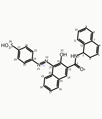 O=C(NC1CC=Cc2ccccc21)c1cc2ccccc2c(/N=N/c2ccc(S(=O)(=O)O)cc2)c1O